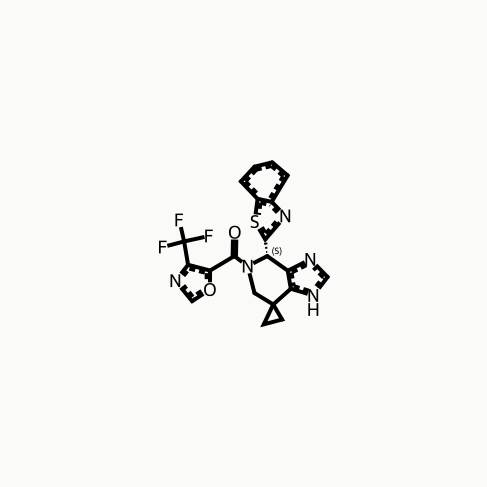 O=C(c1ocnc1C(F)(F)F)N1CC2(CC2)c2[nH]cnc2[C@H]1c1nc2ccccc2s1